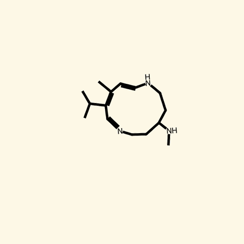 CNC1CC\N=C/C(C(C)C)=C(C)\C=C\NCC1